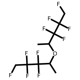 CC(OC(C)C(F)(F)C(F)(F)CF)C(F)(F)C(F)(F)CF